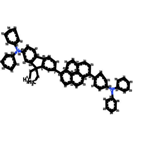 CCC1(CC)c2cc(-c3ccc4ccc5c(-c6ccc(N(c7ccccc7)c7ccccc7)cc6)ccc6ccc3c4c65)ccc2-c2ccc(N(c3ccccc3)c3ccccc3)cc21